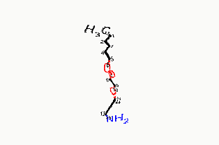 CCCCCCOOCCOCCN